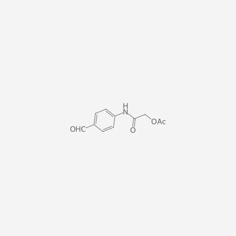 CC(=O)OCC(=O)Nc1ccc(C=O)cc1